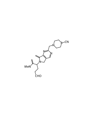 C=C(NC)C(CCC=O)N1Cc2cnc(CN3CCB(C#N)CC3)nc2C1=C